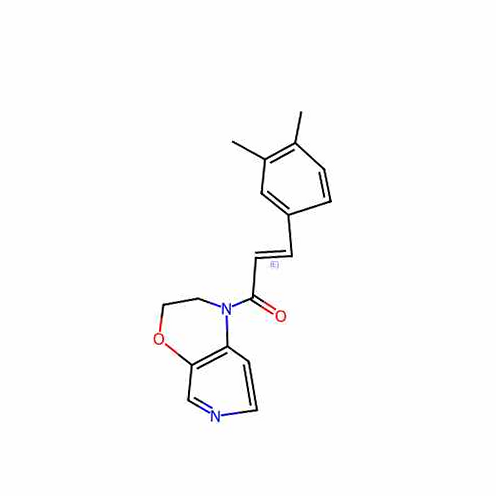 Cc1ccc(/C=C/C(=O)N2CCOc3cnccc32)cc1C